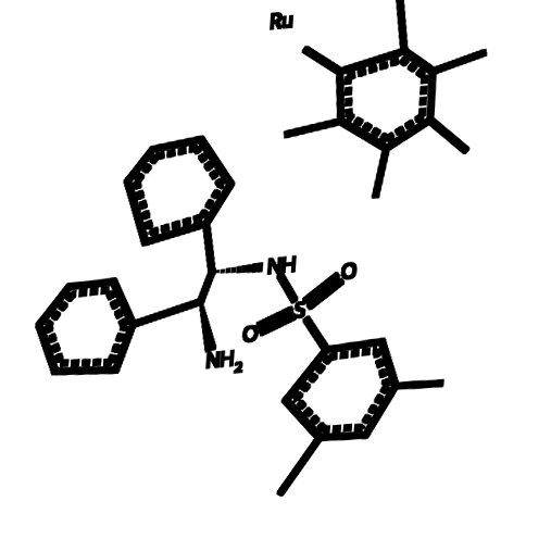 Cc1c(C)c(C)c(C)c(C)c1C.Cc1cc(C)cc(S(=O)(=O)N[C@@H](c2ccccc2)[C@@H](N)c2ccccc2)c1.[Ru]